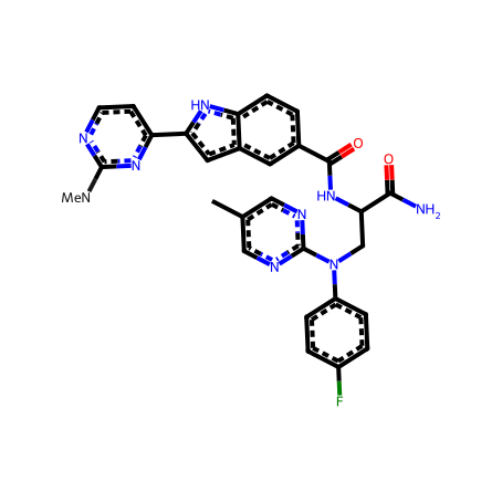 CNc1nccc(-c2cc3cc(C(=O)NC(CN(c4ccc(F)cc4)c4ncc(C)cn4)C(N)=O)ccc3[nH]2)n1